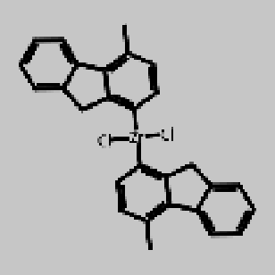 Cc1cc[c]([Zr]([Cl])([Cl])[c]2ccc(C)c3c2Cc2ccccc2-3)c2c1-c1ccccc1C2